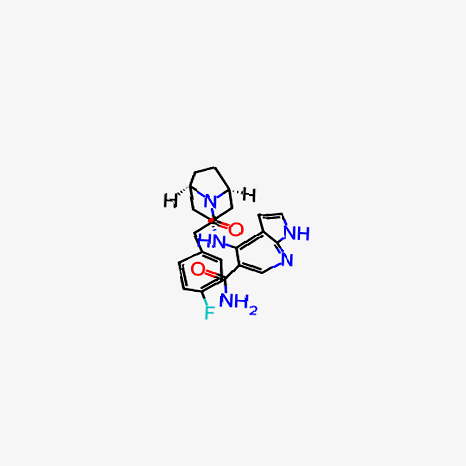 NC(=O)c1cnc2[nH]ccc2c1N[C@@H]1C[C@H]2CC[C@@H](C1)N2C(=O)Cc1ccc(F)cc1